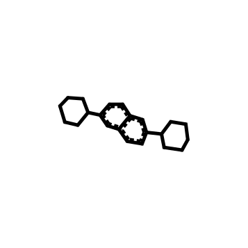 c1cc2cc(C3CCCCC3)ccc2cc1C1CCCCC1